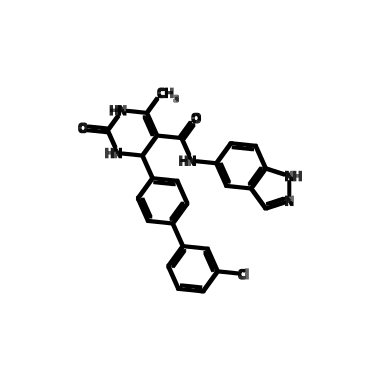 CC1=C(C(=O)Nc2ccc3[nH]ncc3c2)C(c2ccc(-c3cccc(Cl)c3)cc2)NC(=O)N1